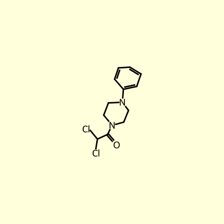 O=C(C(Cl)Cl)N1CCN(c2ccccc2)CC1